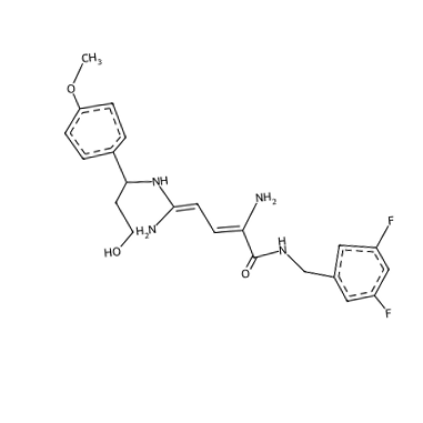 COc1ccc(C(CCO)N/C(N)=C/C=C(\N)C(=O)NCc2cc(F)cc(F)c2)cc1